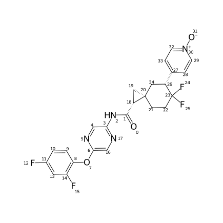 O=C(Nc1cnc(Oc2ccc(F)cc2F)cn1)[C@@H]1C[C@]12CCC(F)(F)[C@@H](c1cc[n+]([O-])cc1)C2